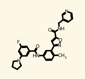 Cc1ccc(NC(=O)c2cc(F)cc(N3CCCC3)c2)cc1-c1cc(C(=O)NCc2cccnc2)on1